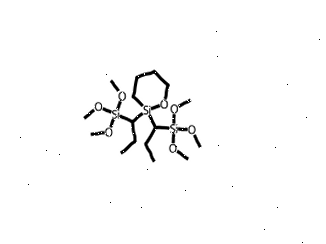 CCC([Si](OC)(OC)OC)[Si]1(C(CC)[Si](OC)(OC)OC)CCCCO1